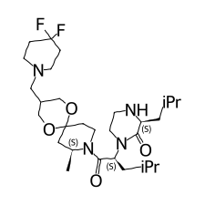 CC(C)C[C@@H]1NCCN([C@@H](CC(C)C)C(=O)N2CCC3(C[C@@H]2C)OCC(CN2CCC(F)(F)CC2)CO3)C1=O